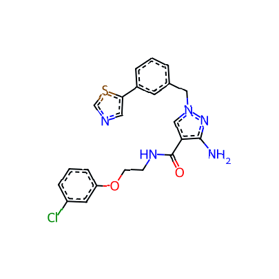 Nc1nn(Cc2cccc(-c3cncs3)c2)cc1C(=O)NCCOc1cccc(Cl)c1